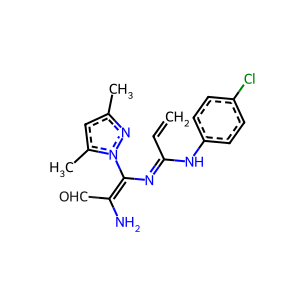 C=C/C(=N\C(=C(/N)C=O)n1nc(C)cc1C)Nc1ccc(Cl)cc1